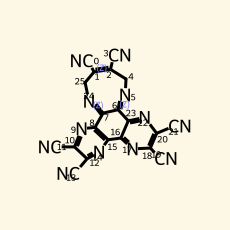 N#C/C1=C(\C#N)C/N=c2\c(c3nc(C#N)c(C#N)nc3c3nc(C#N)c(C#N)nc23)=N/C1